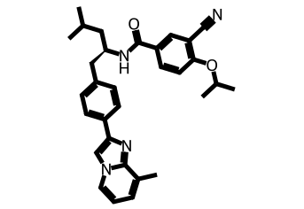 Cc1cccn2cc(-c3ccc(C[C@@H](CC(C)C)NC(=O)c4ccc(OC(C)C)c(C#N)c4)cc3)nc12